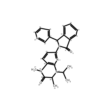 CC(C)N1c2nc(N3C(=O)c4ccccc4C3c3cccnc3)ccc2N(C)C(=O)C1C